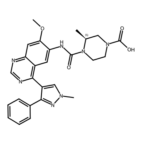 COc1cc2ncnc(-c3cn(C)nc3-c3ccccc3)c2cc1NC(=O)N1CCN(C(=O)O)C[C@@H]1C